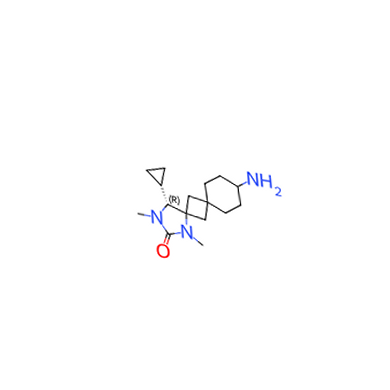 CN1C(=O)N(C)C2(CC3(CCC(N)CC3)C2)[C@H]1C1CC1